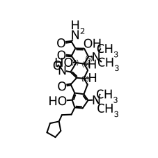 CN(C)c1cc(CCC2CCCC2)c(O)c2c1C[C@H]1C[C@H]3[C@H](N(C)C)C(O)=C(C(N)=O)C(=O)[C@@]3(O)C(N=O)=C1C2=O